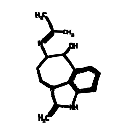 C=C1Nc2cccc3c2N1CCC(N=C(C)C)C3O